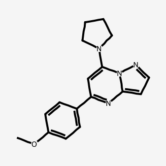 COc1ccc(-c2cc(N3CCCC3)n3nccc3n2)cc1